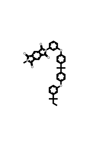 CCC(C)(C)c1cccc(Oc2ccc(C(C)(C)c3ccc(Oc4cccc(-n5c(=O)c6cc7c(=O)n(C)c(=O)c7cc6c5=O)c4)cc3)cc2)c1